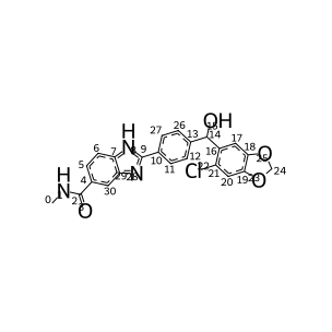 CNC(=O)c1ccc2[nH]c(-c3ccc(C(O)c4cc5c(cc4Cl)OCO5)cc3)nc2c1